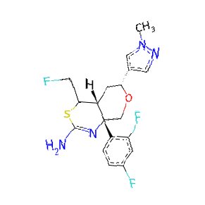 Cn1cc([C@H]2C[C@H]3C(CF)SC(N)=N[C@@]3(c3ccc(F)cc3F)CO2)cn1